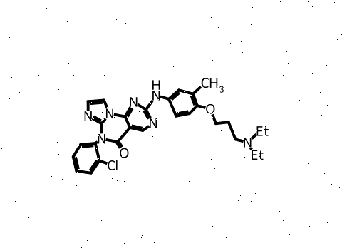 CCN(CC)CCCOc1ccc(Nc2ncc3c(=O)n(-c4ccccc4Cl)c4nccn4c3n2)cc1C